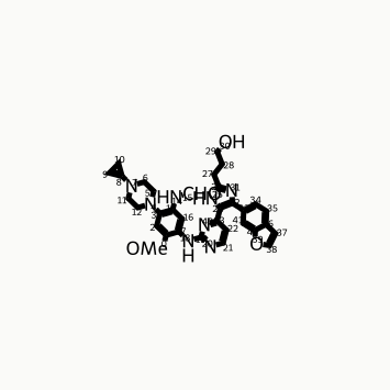 COc1cc(N2CCN(C3=CC3)CC2)c(NC=O)cc1Nc1nccc(-c2[nH]c(CCCO)nc2-c2ccc3ccoc3c2)n1